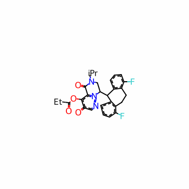 CCC(=O)Oc1c2n(ncc1=O)C(C1c3cccc(F)c3CCc3c(F)cccc31)CN(C(C)C)C2=O